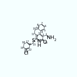 NCC1=C2c3ccccc3CCC2C(SCC2=CCCC(Cl)=C2)NC1=O